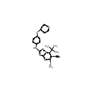 CSc1nc2nc(Nc3ccc(Oc4ccncc4)cc3)nn2c(C(C)(C)C)c1C#N